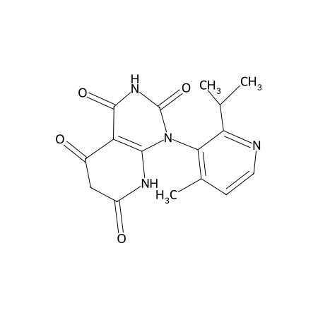 Cc1ccnc(C(C)C)c1-n1c2c(c(=O)[nH]c1=O)C(=O)CC(=O)N2